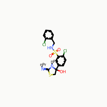 CCCN=C1SCC(O)(c2ccc(Cl)c(S(=O)(=O)NCc3ccccc3Cl)c2)N1CCC